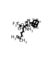 CN(C)CCCC[C@](N)(OC(=O)C(F)(F)F)c1nc(C23CC4CC(CC(C4)C2)C3)no1